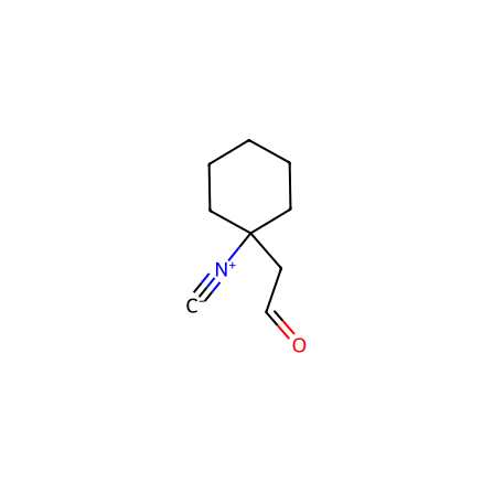 [C-]#[N+]C1(CC=O)CCCCC1